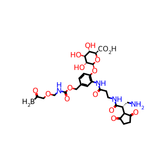 BC(=O)COCNC(=O)OCc1ccc(O[C@@H]2O[C@H](C(=O)O)[C@@H](O)[C@H](O)[C@H]2O)c(NC(=O)CCNC(=O)[C@H](CN)C2C(=O)CCC2=O)c1